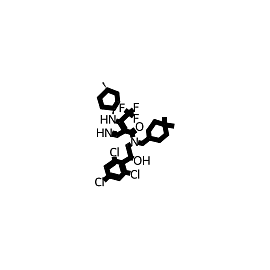 CC1(C)CCC(CN(CC(O)c2c(Cl)cc(Cl)cc2Cl)C(=O)/C(C=N)=C(/N[C@H]2CC[C@@H](C)CC2)C(F)(F)F)CC1